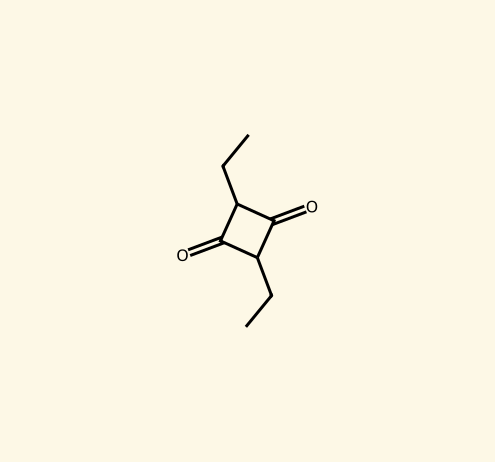 CCC1C(=O)C(CC)C1=O